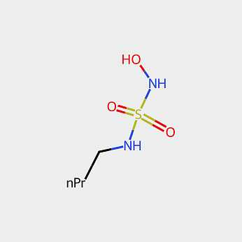 CCCCNS(=O)(=O)NO